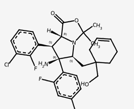 CC1(C)OC(=O)[C@H]2[C@H](c3cccc(Cl)c3F)[C@@](N)(c3ccc(Cl)cc3F)[C@H](CC3(CO)CC=CCC3)N21